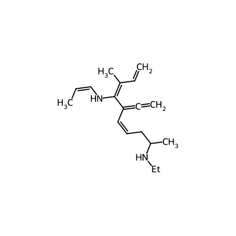 C=C=C(/C=C\CC(C)NCC)/C(N/C=C\C)=C(/C)C=C